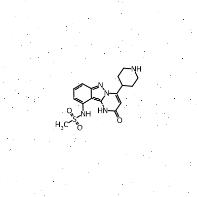 CS(=O)(=O)Nc1cccc2nn3c(C4CCNCC4)cc(=O)[nH]c3c12